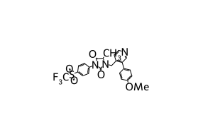 COc1ccc(-c2cnccc2CN2C(=O)N(c3ccc(S(=O)(=O)C(F)(F)F)cc3)C(=O)C2C)cc1